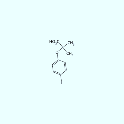 CC(C)(Oc1ccc(I)cc1)C(=O)O